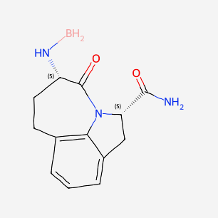 BN[C@H]1CCc2cccc3c2N(C1=O)[C@H](C(N)=O)C3